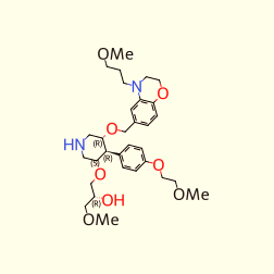 COCCCN1CCOc2ccc(CO[C@H]3CNC[C@@H](OC[C@H](O)COC)[C@@H]3c3ccc(OCCOC)cc3)cc21